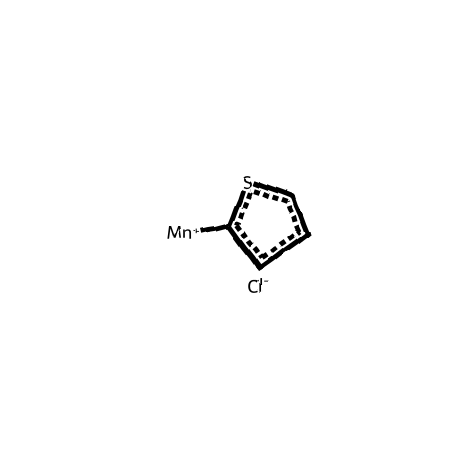 [Cl-].[Mn+][c]1cccs1